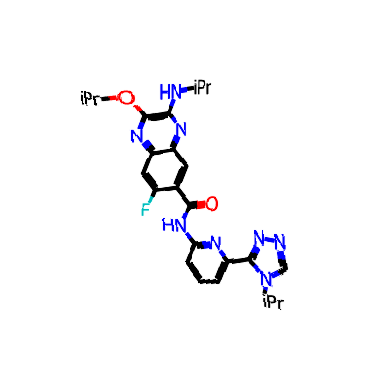 CC(C)Nc1nc2cc(C(=O)Nc3cccc(-c4nncn4C(C)C)n3)c(F)cc2nc1OC(C)C